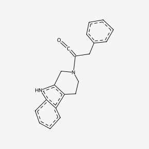 O=C=C(Cc1ccccc1)N1CCc2c([nH]c3ccccc23)C1